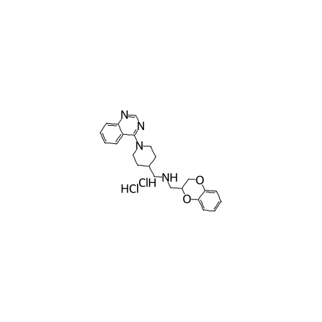 Cl.Cl.c1ccc2c(c1)OCC(CNCC1CCN(c3ncnc4ccccc34)CC1)O2